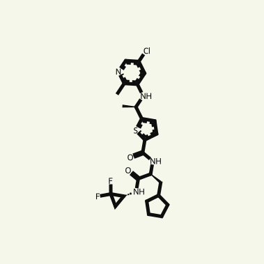 Cc1ncc(Cl)cc1N[C@H](C)c1ccc(C(=O)N[C@@H](CC2CCCC2)C(=O)N[C@@H]2CC2(F)F)s1